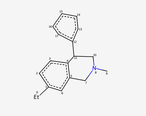 CCc1ccc2c(c1)CN(C)CC2c1ccccc1